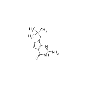 CC(C)(C)Cn1ccc2c(=O)[nH]c(N)nc21